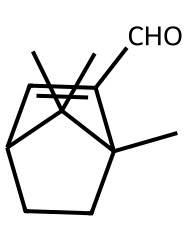 CC12CCC(C=C1C=O)C2(C)C